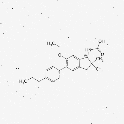 CCCc1ccc(-c2cc3c(cc2OCC)[C@H](NC(=O)O)C(C)(C)C3)cc1